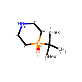 CCCCCCC(C)(CCCCCC)P1(=O)CCNCC1